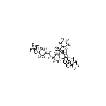 CC(C)(C)OC(=O)c1ccc(C=Cc2ccc(OC(F)(F)F)cc2)cc1NC(=O)c1ccccc1